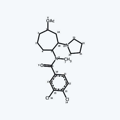 CC(=O)OC1CCCC(N(C)C(=O)c2ccc(Cl)c(Cl)c2)C(N2CCCC2)C1